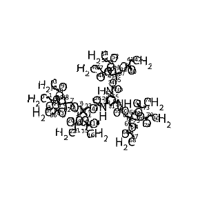 C=CC(=O)OCC(COCC(COC(=O)C=C)(COC(=O)C=C)COC(=O)Nc1cc(NC(=O)OCC(COC(=O)C=C)(COC(=O)C=C)COC(=O)C=C)cc(NC(=O)OCC(COC(=O)C=C)(COC(=O)C=C)COC(=O)C=C)c1)(COC(=O)C=C)COC(=O)C=C